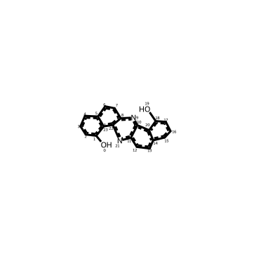 Oc1cccc2ccc3nc4c(ccc5cccc(O)c54)nc3c12